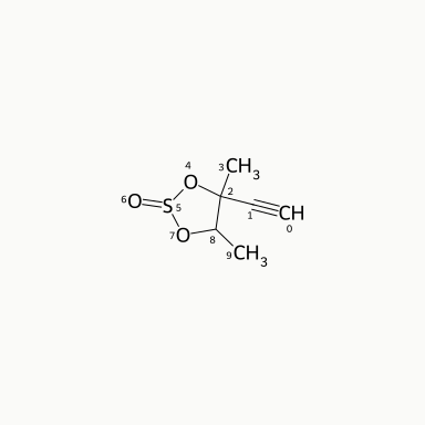 C#CC1(C)OS(=O)OC1C